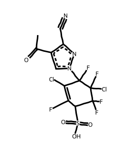 CC(=O)c1cn(C2(F)C(Cl)=C(F)C(S(=O)(=O)O)C(F)(F)C2(F)Cl)nc1C#N